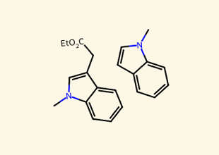 CCOC(=O)Cc1cn(C)c2ccccc12.Cn1ccc2ccccc21